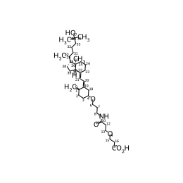 C=C1CC[C@H](OCCCNC(=O)CCOCCC(=O)O)C/C1=C/C=C1\CCC[C@]2(C)[C@@H]([C@H](C)CCCC(C)(C)O)CC[C@@H]12